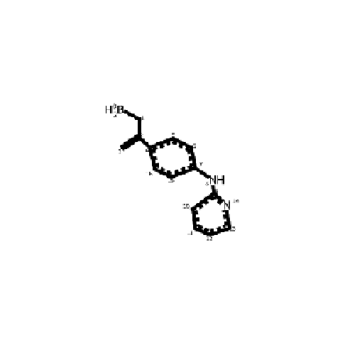 BCC(=C)c1ccc(Nc2ccccn2)cc1